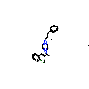 CC(/C=C/c1ccccc1Cl)N1CCN(CCCc2ccccc2)CC1